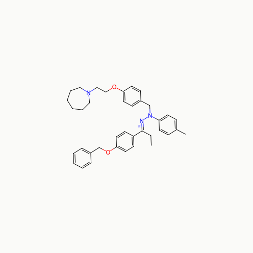 CC/C(=N\N(Cc1ccc(OCCN2CCCCCC2)cc1)c1ccc(C)cc1)c1ccc(OCc2ccccc2)cc1